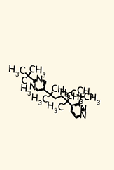 CC(C)(C)c1ncc(C(C)(C)CCC(C)(C)c2ccnnc2C(C)(C)C)cn1